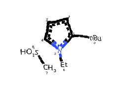 CCCCc1cccn1CC.CS(=O)(=O)O